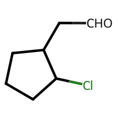 O=CCC1CCCC1Cl